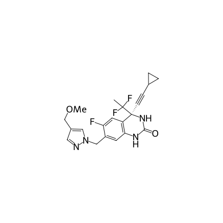 COCc1cnn(Cc2cc3c(cc2F)[C@@](C#CC2CC2)(C(C)(F)F)NC(=O)N3)c1